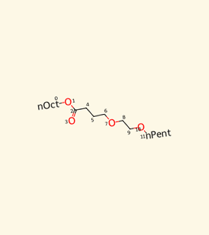 CCCCCCCCOC(=O)CCCOCCOCCCCC